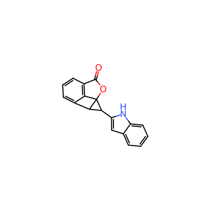 O=C1OC23c4c1cccc4C2C3c1cc2ccccc2[nH]1